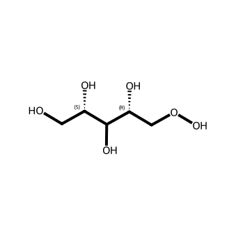 OC[C@H](O)C(O)[C@H](O)COO